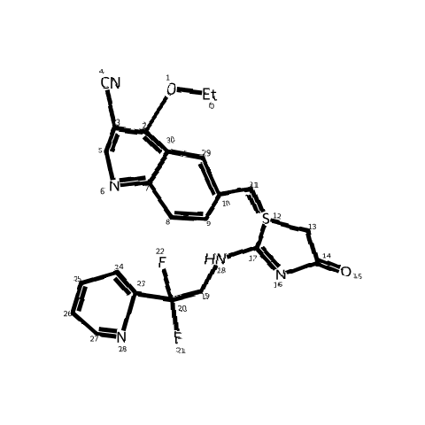 CCOc1c(C#N)cnc2ccc(/C=S3/CC(=O)N=C3NCC(F)(F)c3ccccn3)cc12